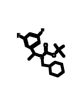 CC(c1cc(F)cc(F)c1)N(CC1CCCCC1)C(=O)OC(C)(C)C